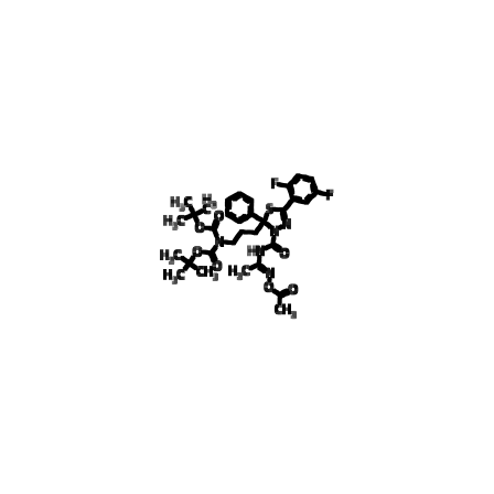 CC(=O)ON=C(C)NC(=O)N1N=C(c2cc(F)ccc2F)SC1(CCCN(C(=O)OC(C)(C)C)C(=O)OC(C)(C)C)c1ccccc1